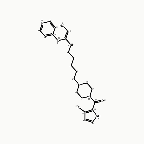 N#CN=C(NCCCCCN1CCN(C(=O)c2[nH]ccc2F)CC1)Nc1ccncc1